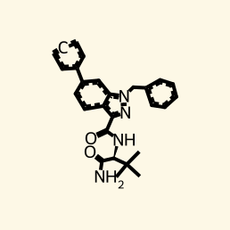 CC(C)(C)[C@H](NC(=O)c1nn(Cc2ccccc2)c2cc(-c3ccccc3)ccc12)C(N)=O